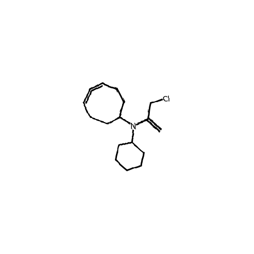 C=C(CCl)N(C1CCC=C=CCC1)C1CCCCC1